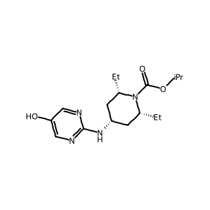 CC[C@@H]1C[C@H](Nc2ncc(O)cn2)C[C@H](CC)N1C(=O)OC(C)C